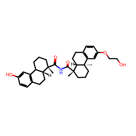 C[C@]1(C(=O)NC(=O)[C@@]2(C)CCC[C@]3(C)c4cc(OCCO)ccc4CC[C@@H]23)CCCC2c3cc(O)ccc3CC[C@H]21